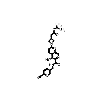 CC(C)OC(=O)CC1CN(c2ccc3c(O)c(C(=O)NCc4ccc(C#N)nc4)ncc3n2)C1